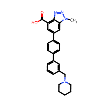 Cn1nnc2c(C(=O)O)cc(-c3ccc(-c4cccc(CN5CCCCC5)c4)cc3)cc21